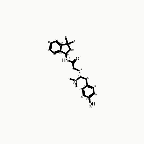 CN(C)[C@H](CCC(=O)NC1CC(C)(C)c2ccccc21)Cc1ccc(O)cc1